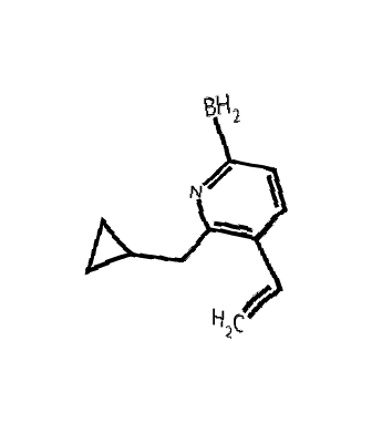 Bc1ccc(C=C)c(CC2CC2)n1